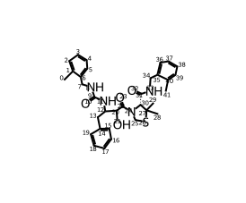 Cc1ccccc1CNC(=O)NC(Cc1ccccc1)C(O)C(=O)N1CSC(C)(C)[C@H]1C(=O)NCc1ccccc1C